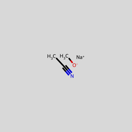 CC#N.C[O-].[Na+]